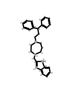 c1ccc(C(CCN2CCCN(Cc3nc4ccccc4[nH]3)CC2)c2ccccc2)cc1